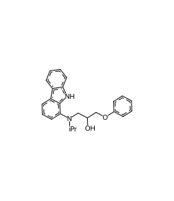 CC(C)N(CC(O)COc1ccccc1)c1cccc2c1[nH]c1ccccc12